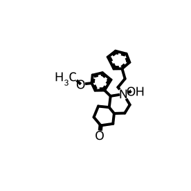 COc1cccc(C2C3CCC(=O)CC3CC[N+]2(O)CCc2ccccc2)c1